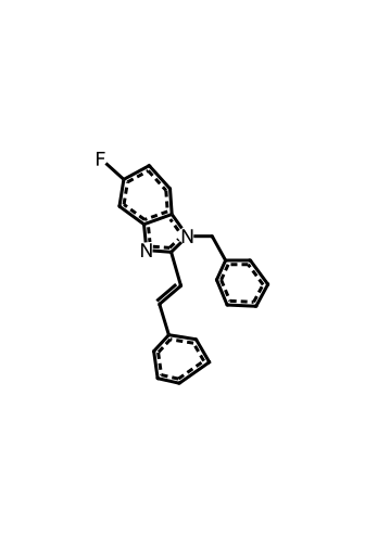 Fc1ccc2c(c1)nc(/C=C/c1ccccc1)n2Cc1ccccc1